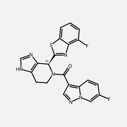 O=C(c1cnn2cc(F)ccc12)N1CCc2[nH]cnc2[C@H]1c1nc2c(F)cccc2s1